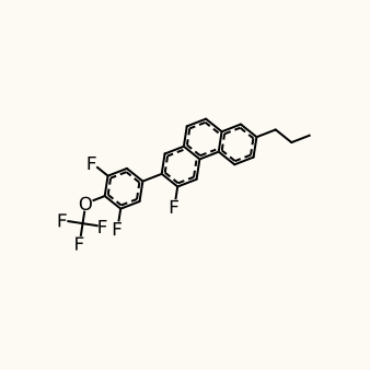 CCCc1ccc2c(ccc3cc(-c4cc(F)c(OC(F)(F)F)c(F)c4)c(F)cc32)c1